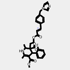 COC(=O)C1=C(C)NC(C)C(CCOC(=O)/C=C/c2ccc(Cn3ccnc3)cc2)(C(=O)O)C1c1ccccc1F